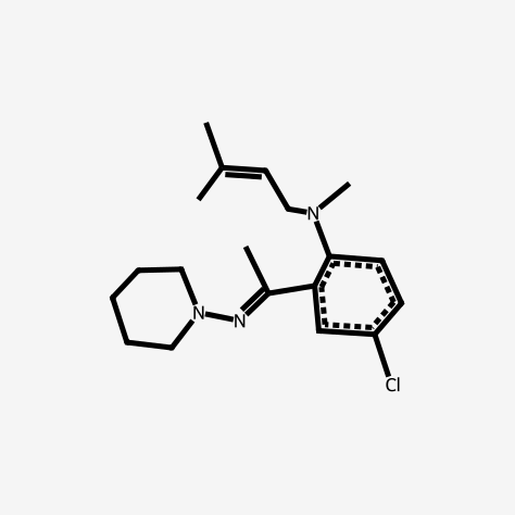 CC(C)=CCN(C)c1ccc(Cl)cc1/C(C)=N/N1CCCCC1